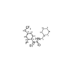 CCN(C(=O)NCC1CCCCC1)c1ccc(SC(F)(F)F)cc1F